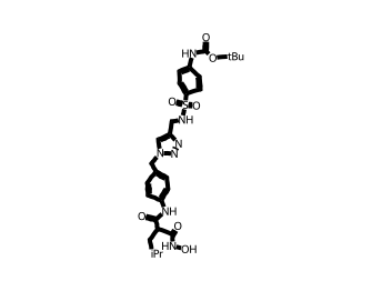 CC(C)CC(C(=O)NO)C(=O)Nc1ccc(Cn2cc(CNS(=O)(=O)c3ccc(NC(=O)OC(C)(C)C)cc3)nn2)cc1